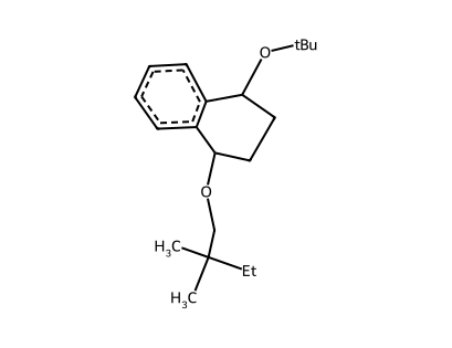 CCC(C)(C)COC1CCC(OC(C)(C)C)c2ccccc21